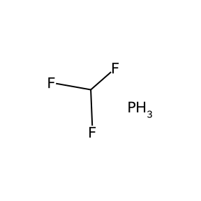 FC(F)F.P